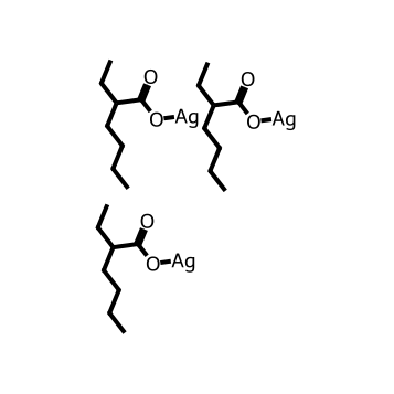 CCCCC(CC)C(=O)[O][Ag].CCCCC(CC)C(=O)[O][Ag].CCCCC(CC)C(=O)[O][Ag]